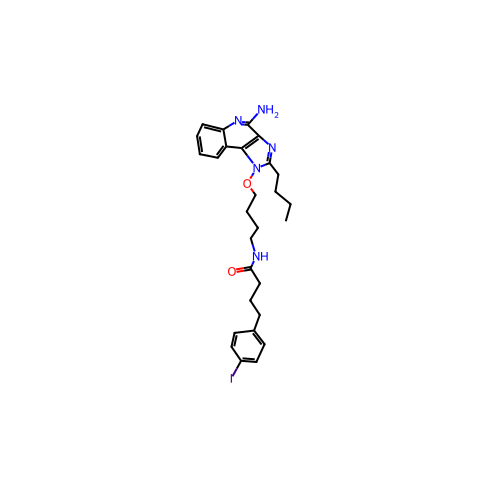 CCCCc1nc2c(N)nc3ccccc3c2n1OCCCCNC(=O)CCCc1ccc(I)cc1